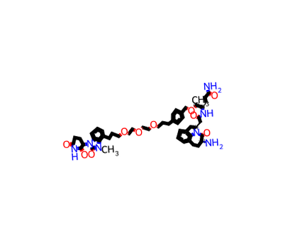 C[C@@H](OCc1ccc(CCCOCCOCCOCCCc2cccc3c2n(C)c(=O)n3C2CCC(=O)NC2=O)cc1)[C@H](CCC(N)=O)NC(=O)C[C@@H]1Cc2cccc3c2N1C(=O)[C@@H](N)CC3